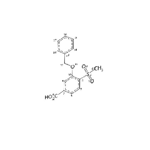 CS(=O)(=O)c1ccc(C(=O)O)cc1OCc1ccccc1